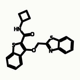 O=C(NC1CCC1)c1sc2ccccc2c1OCc1nc2ccccc2s1